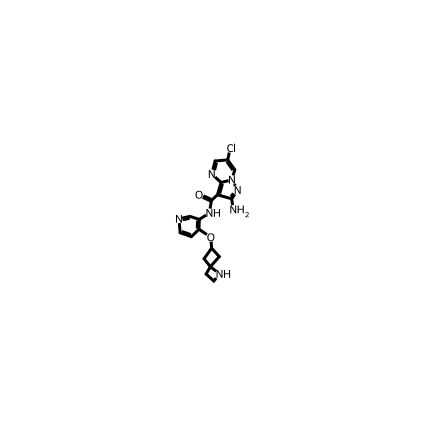 Nc1nn2cc(Cl)cnc2c1C(=O)Nc1cnccc1OC1CC2(CCN2)C1